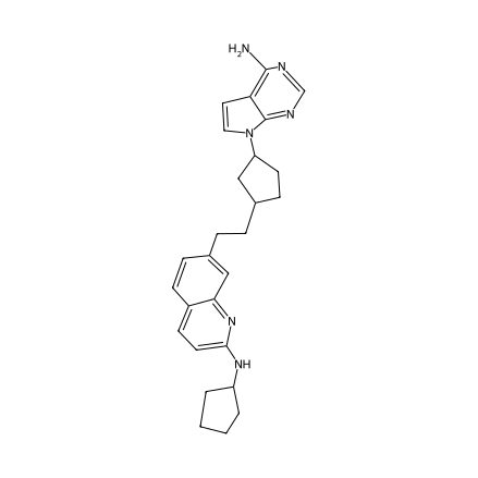 Nc1ncnc2c1ccn2C1CCC(CCc2ccc3ccc(NC4CCCC4)nc3c2)C1